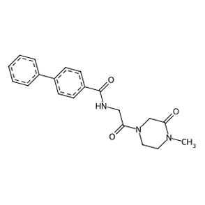 CN1CCN(C(=O)CNC(=O)c2ccc(-c3ccccc3)cc2)CC1=O